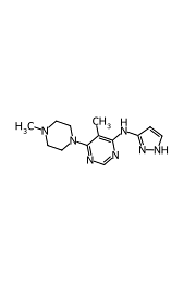 Cc1c(Nc2cc[nH]n2)ncnc1N1CCN(C)CC1